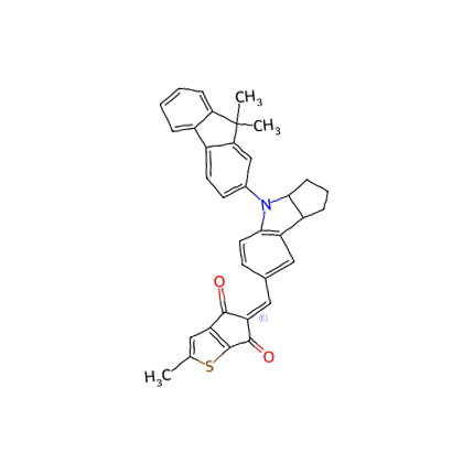 Cc1cc2c(s1)C(=O)/C(=C/c1ccc3c(c1)C1CCCC1N3c1ccc3c(c1)C(C)(C)c1ccccc1-3)C2=O